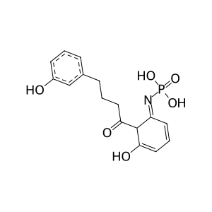 O=C(CCCc1cccc(O)c1)C1C(O)=CC=CC1=NP(=O)(O)O